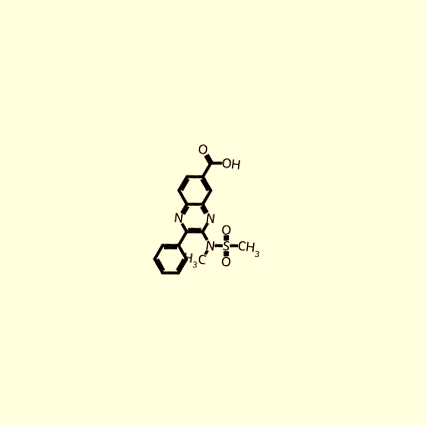 CN(c1nc2cc(C(=O)O)ccc2nc1-c1ccccc1)S(C)(=O)=O